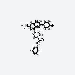 Nc1nc(N2CCN(C(=O)COc3ccccc3)CC2)c2nc(-c3ccc(F)cc3)cnc2n1